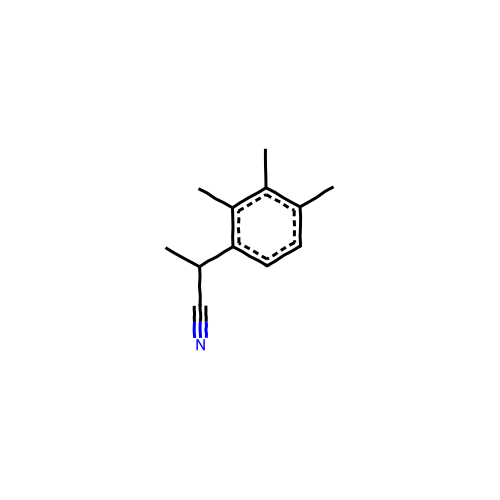 Cc1ccc(C(C)C#N)c(C)c1C